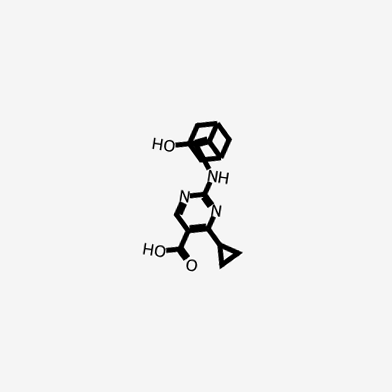 O=C(O)c1cnc(NC2=C3C4CC3CC(O)(C2)C4)nc1C1CC1